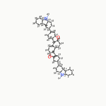 Cn1c2ccccc2c2cc(-c3ccc4c(c3)oc3ccc5c(ccc6oc7cc(-c8ccc9c(c8)c8ccccc8n9C)ccc7c65)c34)ccc21